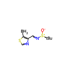 Bc1scnc1/C=N/[S@@+]([O-])C(C)(C)C